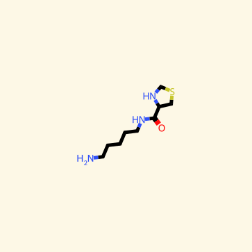 NCCCCCNC(=O)C1CSCN1